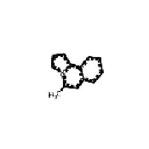 Cc1cc2ccccc2c2cccn12